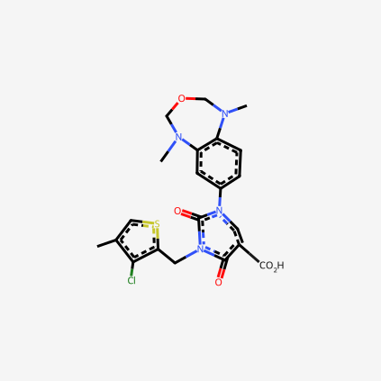 Cc1csc(Cn2c(=O)c(C(=O)O)cn(-c3ccc4c(c3)N(C)COCN4C)c2=O)c1Cl